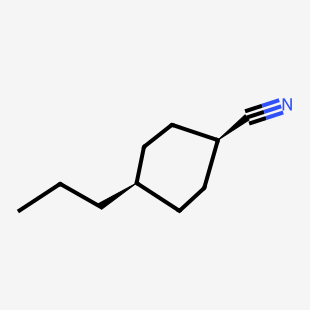 CCC[C@H]1CC[C@@H](C#N)CC1